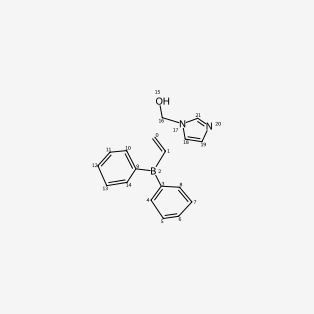 C=CB(c1ccccc1)c1ccccc1.OCn1ccnc1